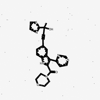 CC(O)(C#Cc1ccc2[nH]c(C(=O)N3CCOCC3)c(-c3ccncn3)c2c1)c1nccs1